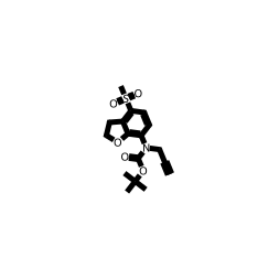 C#CCN(C(=O)OC(C)(C)C)c1ccc(S(C)(=O)=O)c2c1OCC2